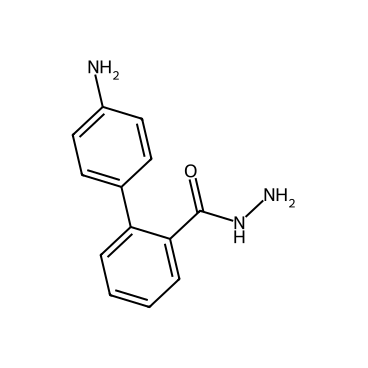 NNC(=O)c1ccccc1-c1ccc(N)cc1